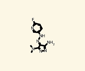 CN(C)C1=NN=C(N)/C1=N\Nc1ccc(F)nc1